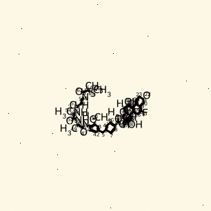 COc1cc(Cc2ccc([C@@H]3O[C@@H]4C[C@H]5[C@@H]6C[C@H](F)C7=CC(=O)C=C[C@]7(C)[C@@]6(F)[C@@H](O)C[C@]5(C)[C@]4(C(=O)CO)O3)cc2)ccc1NC(=O)[C@H](C)NC(=O)[C@H](C)NC(=O)CCNC(=O)C(C)SC